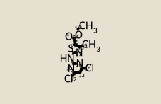 CCOC(=O)c1sc(Nc2nc(Cl)cc(Cl)n2)nc1C